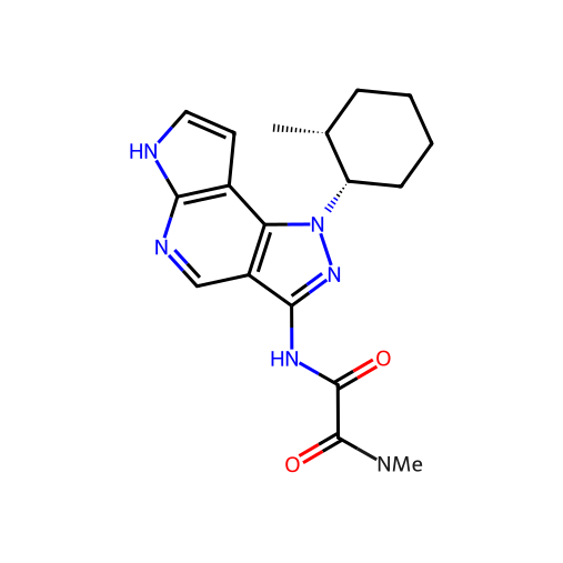 CNC(=O)C(=O)Nc1nn([C@H]2CCCC[C@H]2C)c2c1cnc1[nH]ccc12